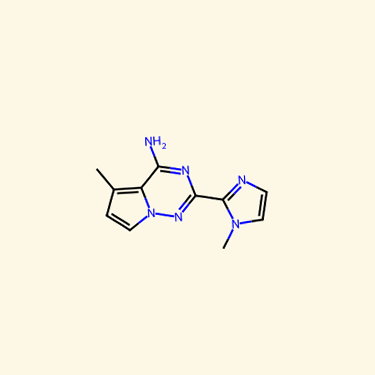 Cc1ccn2nc(-c3nccn3C)nc(N)c12